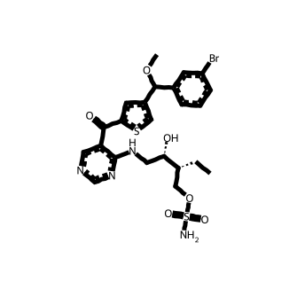 CC[C@H](COS(N)(=O)=O)[C@@H](O)CNc1ncncc1C(=O)c1cc(C(OC)c2cccc(Br)c2)cs1